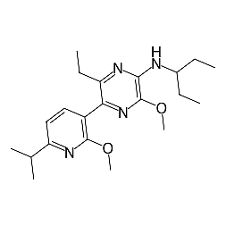 CCc1nc(NC(CC)CC)c(OC)nc1-c1ccc(C(C)C)nc1OC